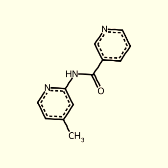 Cc1ccnc(NC(=O)c2cccnc2)c1